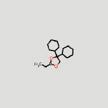 CCB1OCC(C2CCCCC2)(C2CCCCC2)O1